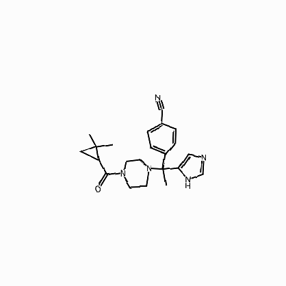 CC1(C)CC1C(=O)N1CCN(C(C)(c2ccc(C#N)cc2)c2cnc[nH]2)CC1